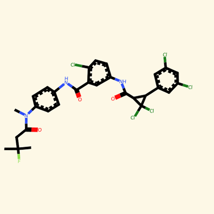 CN(C(=O)CC(C)(C)F)c1ccc(NC(=O)c2cc(NC(=O)C3C(c4cc(Cl)cc(Cl)c4)C3(Cl)Cl)ccc2Cl)cc1